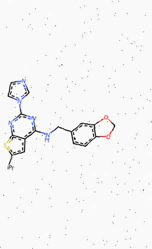 CC(C)c1cc2c(NCc3ccc4c(c3)OCO4)nc(-n3ccnc3)nc2s1